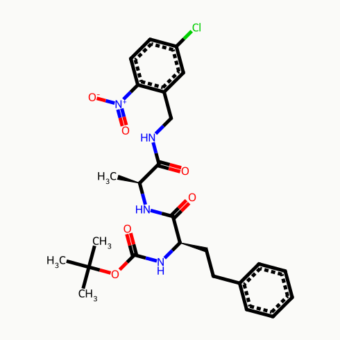 C[C@H](NC(=O)[C@@H](CCc1ccccc1)NC(=O)OC(C)(C)C)C(=O)NCc1cc(Cl)ccc1[N+](=O)[O-]